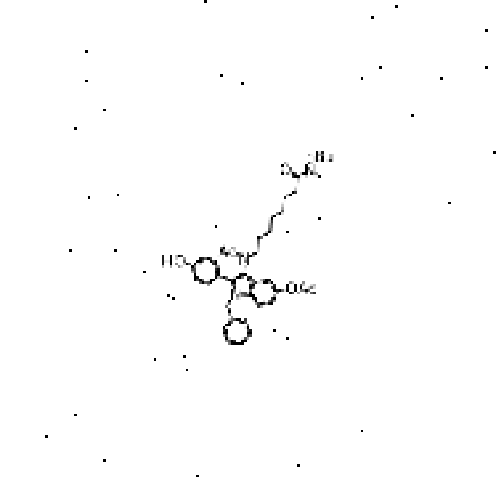 CCCCN(C)C(=O)CCCCCCCN(C(C)=O)c1c(-c2ccc(O)cc2)n(Cc2ccccc2)c2ccc(OC(C)=O)cc12